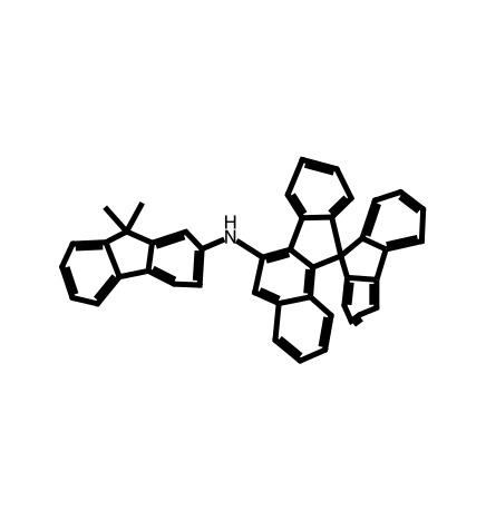 CC1(C)c2ccccc2-c2ccc(Nc3cc4ccccc4c4c3-c3ccccc3C43c4ccccc4-c4ccccc43)cc21